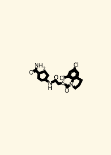 NC(=O)C1CCC(NC(=O)CSC(=O)N2CCCc3cc(Cl)cc(Cl)c32)CC1